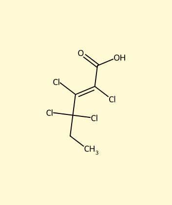 CCC(Cl)(Cl)C(Cl)=C(Cl)C(=O)O